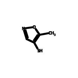 Cc1oncc1S